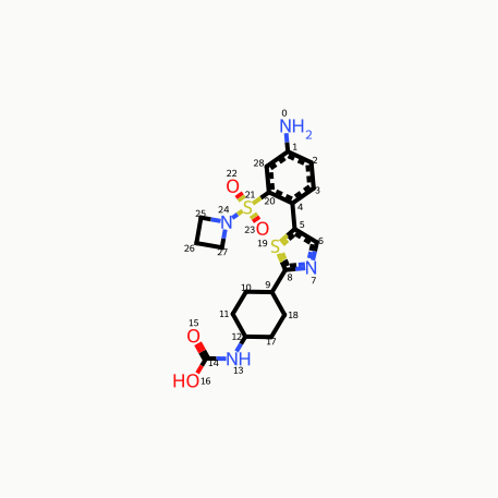 Nc1ccc(-c2cnc(C3CCC(NC(=O)O)CC3)s2)c(S(=O)(=O)N2CCC2)c1